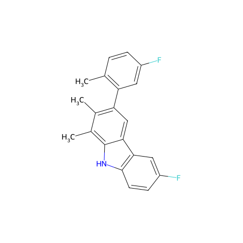 Cc1ccc(F)cc1-c1cc2c([nH]c3ccc(F)cc32)c(C)c1C